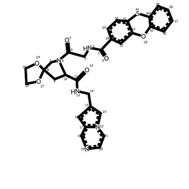 O=C(NCC(=O)N1CC2(CC1C(=O)NCc1cc3cnccn3c1)OCCO2)c1ccc2c(c1)Oc1ccccc1S2